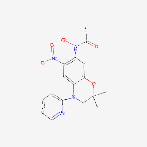 CC(=O)[NH+]([O-])c1cc2c(cc1[N+](=O)[O-])N(c1ccccn1)CC(C)(C)O2